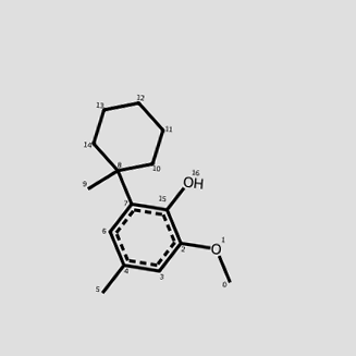 COc1cc(C)cc(C2(C)CCCCC2)c1O